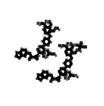 COc1ccc(CN2CCN(C(=O)[C@H](CC(C)C)NC(=O)[C@@H]3O[C@H]3C(=O)Oc3ccc4c(c3)CCC4)CC2)c(OC)c1OC.COc1ccc(CN2CCN(C(=O)[C@H](CC(C)C)NC(=O)[C@@H]3O[C@H]3C(=O)Oc3ccc4c(c3)CCC4)CC2)c(OC)c1OC.O=S(=O)(O)O